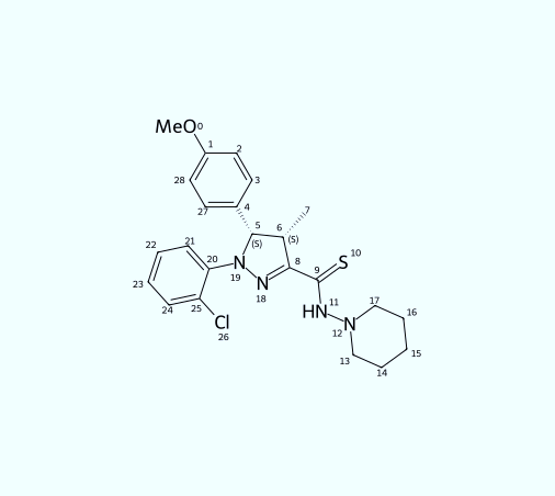 COc1ccc([C@@H]2[C@H](C)C(C(=S)NN3CCCCC3)=NN2c2ccccc2Cl)cc1